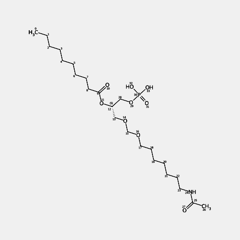 CCCCCCCCCC(=O)O[C@@H](COCOCCCCCCCNC(C)=O)COP(=O)(O)O